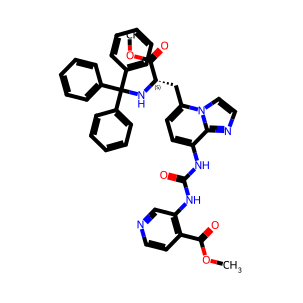 COC(=O)c1ccncc1NC(=O)Nc1ccc(C[C@H](NC(c2ccccc2)(c2ccccc2)c2ccccc2)C(=O)OC)n2ccnc12